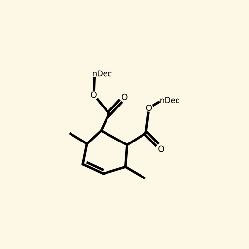 CCCCCCCCCCOC(=O)C1C(C)C=CC(C)C1C(=O)OCCCCCCCCCC